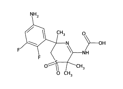 CC1(c2cc(N)cc(F)c2F)CS(=O)(=O)C(C)(C)C(NC(=O)O)=N1